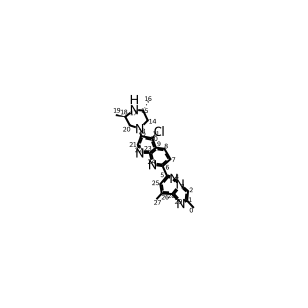 Cc1cn2nc(-c3ccc4c(Cl)c(N5C[C@@H](C)N[C@H](C)C5)cnc4n3)cc(C)c2n1